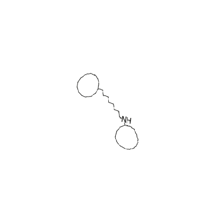 C1CCCCCCC(CCCCCCCCNC2CCCCCCCCCCCCC2)CCCCCC1